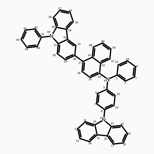 c1ccc(N(c2ccc(-n3c4ccccc4c4ccccc43)cc2)c2ccc(-c3ccc4c(c3)c3ccccc3n4-c3ccccc3)c3ccccc23)cc1